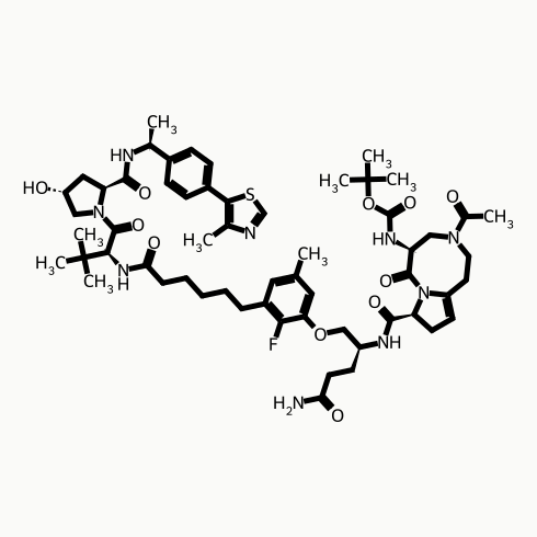 CC(=O)N1CCC2=CC[C@@H](C(=O)N[C@@H](CCC(N)=O)COc3cc(C)cc(CCCCCC(=O)N[C@H](C(=O)N4C[C@H](O)C[C@H]4C(=O)N[C@@H](C)c4ccc(-c5scnc5C)cc4)C(C)(C)C)c3F)N2C(=O)[C@@H](NC(=O)OC(C)(C)C)C1